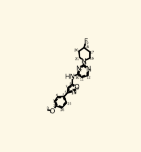 COc1ccc(-c2cc(Nc3ccnc(N4CCC(F)CC4)n3)on2)cc1